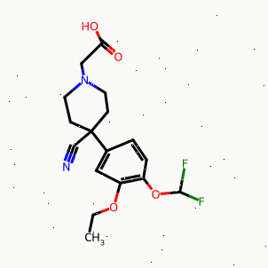 CCOc1cc(C2(C#N)CCN(CC(=O)O)CC2)ccc1OC(F)F